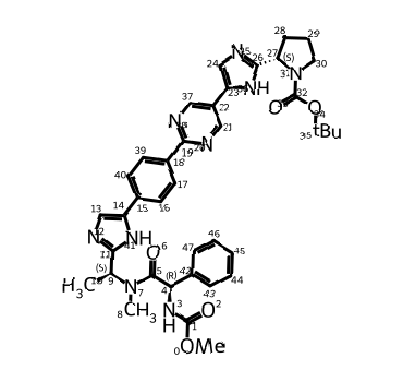 COC(=O)N[C@@H](C(=O)N(C)[C@@H](C)c1ncc(-c2ccc(-c3ncc(-c4cnc([C@@H]5CCCN5C(=O)OC(C)(C)C)[nH]4)cn3)cc2)[nH]1)c1ccccc1